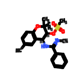 CC1(C)Oc2ccc(C#N)cc2[C@@H](NC(=NC#N)c2ccccc2)[C@@H]1OS(C)(=O)=O